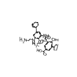 COc1c(NCCN)cc(-c2ccccc2)cc1NS(=O)(=O)c1cc(C(=O)O)cc(Cl)c1O